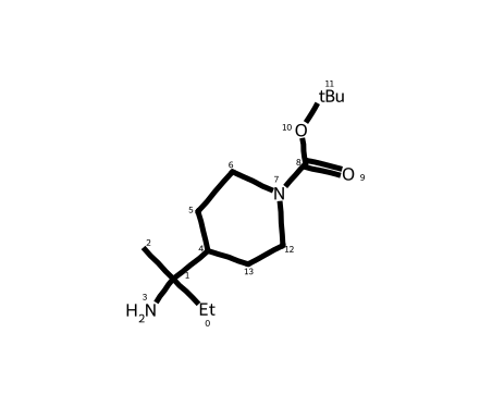 CCC(C)(N)C1CCN(C(=O)OC(C)(C)C)CC1